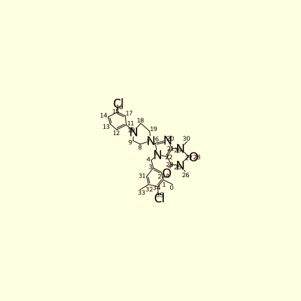 Cc1cc(Cn2c(N3CCN(c4cccc(Cl)c4)CC3)nc3c2c(=O)n(C)c(=O)n3C)cc(C)c1Cl